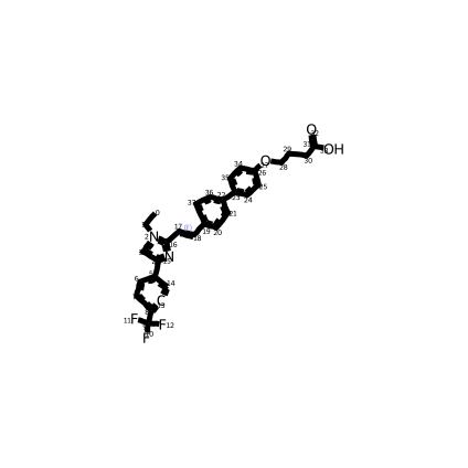 CCn1cc(-c2ccc(C(F)(F)F)cc2)nc1/C=C/c1ccc(-c2ccc(OCCCC(=O)O)cc2)cc1